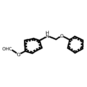 O=COc1ccc(NCOc2ccccc2)cc1